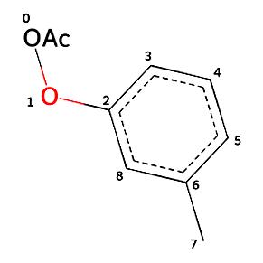 CC(=O)OOc1cccc(C)c1